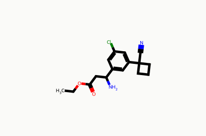 CCOC(=O)CC(N)c1cc(Cl)cc(C2(C#N)CCC2)c1